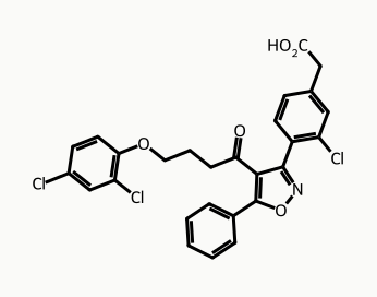 O=C(O)Cc1ccc(-c2noc(-c3ccccc3)c2C(=O)CCCOc2ccc(Cl)cc2Cl)c(Cl)c1